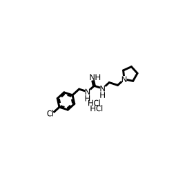 Cl.Cl.N=C(NCCN1CCCC1)NCc1ccc(Cl)cc1